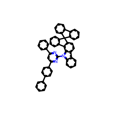 c1ccc(-c2ccc(-c3cc(-c4ccccc4)nc(-n4c5ccccc5c5ccc6c(c54)-c4ccccc4C64c5ccccc5-c5ccccc54)n3)cc2)cc1